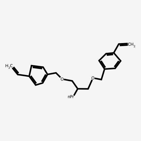 C=Cc1ccc(COCC(CCC)COCc2ccc(C=C)cc2)cc1